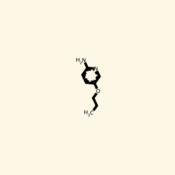 CCCOc1ccc(N)nc1